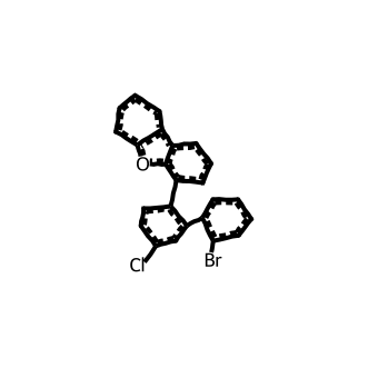 Clc1ccc(-c2cccc3c2oc2ccccc23)c(-c2ccccc2Br)c1